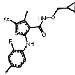 CC(=O)c1sc(Nc2ccc(I)cc2F)c(C(=O)NOCC2CC2)c1C